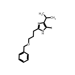 CC(C)c1nc(CCCOCc2ccccc2)[nH]c1I